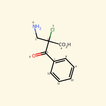 NCC(Cl)(C(=O)O)C(=O)c1ccccc1